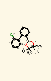 CC1(C)OB(c2ccccc2-c2ccccc2Cl)OC1(C)C